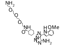 COc1cccc2cc(-c3nc([C@H]4CC[C@H](C(=O)NCCOCCOCCOCCN)CC4)n4ncnc(N)c34)[nH]c12